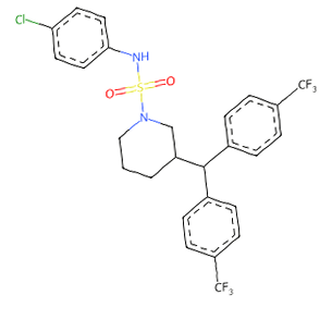 O=S(=O)(Nc1ccc(Cl)cc1)N1CCCC(C(c2ccc(C(F)(F)F)cc2)c2ccc(C(F)(F)F)cc2)C1